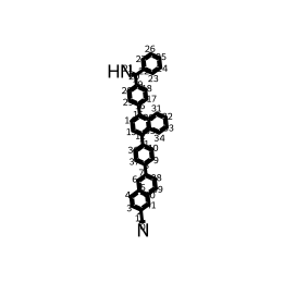 N#Cc1ccc2cc(-c3ccc(-c4ccc(-c5ccc(C(=N)c6ccccc6)cc5)c5ccccc45)cc3)ccc2c1